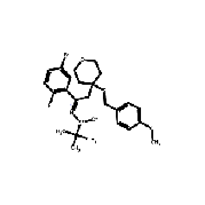 COc1ccc(CSC2(C/C(=N\[S+]([O-])C(C)(C)C)c3cc(Br)ccc3F)CCOCC2)cc1